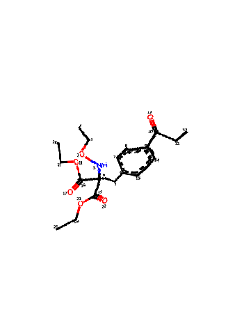 CCONC(Cc1ccc(C(=O)CC)cc1)(C(=O)OCC)C(=O)OCC